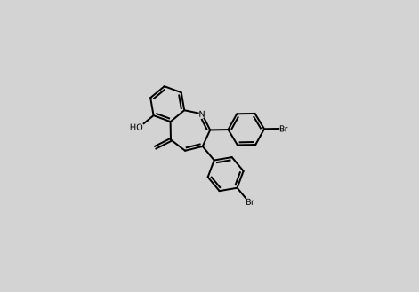 C=C1C=C(c2ccc(Br)cc2)C(c2ccc(Br)cc2)=Nc2cccc(O)c21